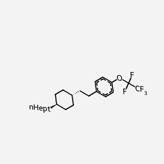 CCCCCCC[C@H]1CC[C@H](CCc2ccc(OC(F)(F)C(F)(F)F)cc2)CC1